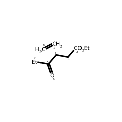 C=C.CCOC(=O)CCC(=O)CC